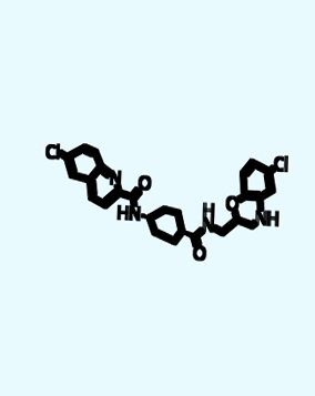 O=C(N[C@H]1CC[C@H](C(=O)NCC2CNc3cc(Cl)ccc3O2)CC1)c1ccc2cc(Cl)ccc2n1